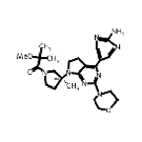 COC(C)(C)C(=O)N1CC[C@](C)(N2CCc3c(-c4cnc(N)nc4)nc(N4CCOCC4)nc32)C1